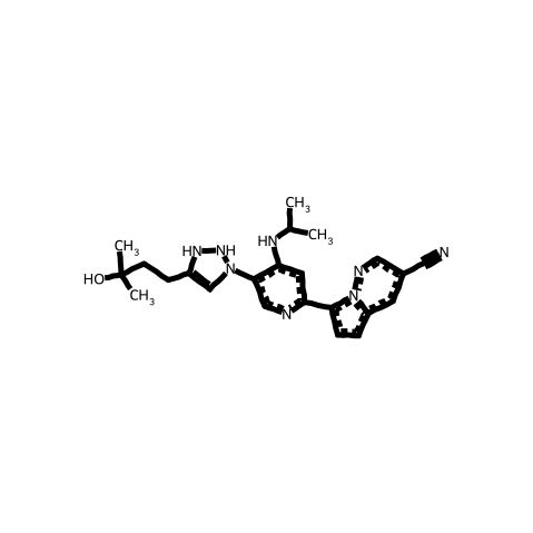 CC(C)Nc1cc(-c2ccc3cc(C#N)cnn23)ncc1N1C=C(CCC(C)(C)O)NN1